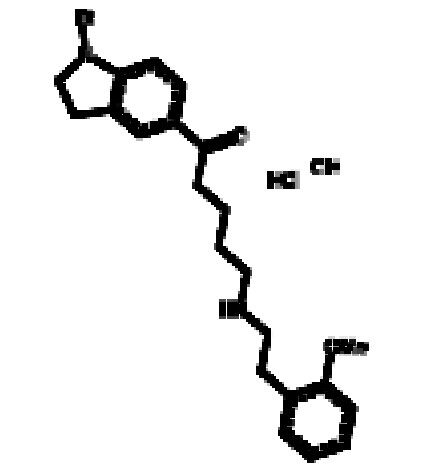 CCN1CCc2cc(C(=O)CCCCNCCc3ccccc3OC)ccc21.Cl.Cl